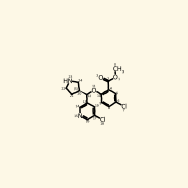 COC(=O)c1cc(Cl)ccc1OC(c1cncc(Cl)c1)[C@H]1CCNC1